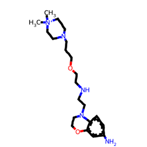 C[N+]1(C)CCN(CCCOCCNCCN2CCOc3cc(N)ccc32)CC1